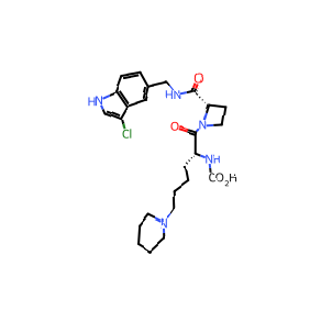 O=C(O)N[C@H](CCCCN1CCCCC1)C(=O)N1CC[C@H]1C(=O)NCc1ccc2[nH]cc(Cl)c2c1